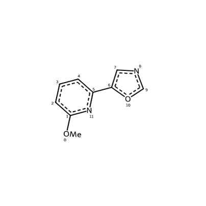 COc1cccc(-c2cnco2)n1